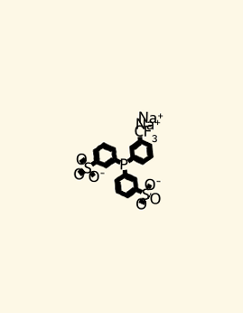 O=S(=O)([O-])c1cccc(P(c2cccc(C(F)(F)F)c2)c2cccc(S(=O)(=O)[O-])c2)c1.[Na+].[Na+]